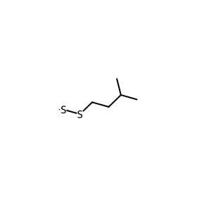 CC(C)CCS[S]